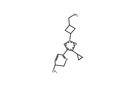 CC1C=CC(c2cn(C3CC(CN)C3)nc2C2CC2)=NC1